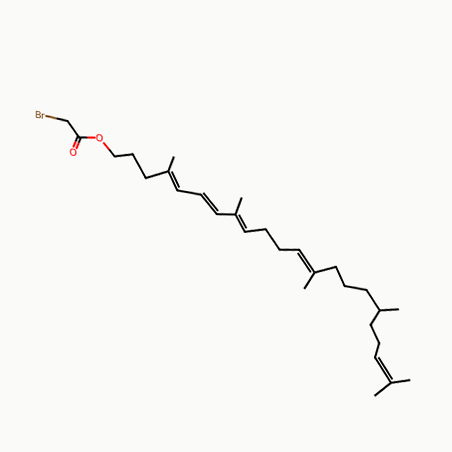 CC(C)=CCCC(C)CCC/C(C)=C/CC/C=C(\C)C=C/C=C(\C)CCCOC(=O)CBr